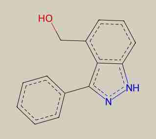 OCc1cccc2[nH]nc(-c3ccccc3)c12